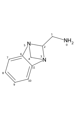 NCC1N2CN1c1ccccc12